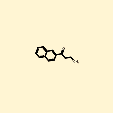 CCCC(=O)c1[c]c2ccccc2cc1